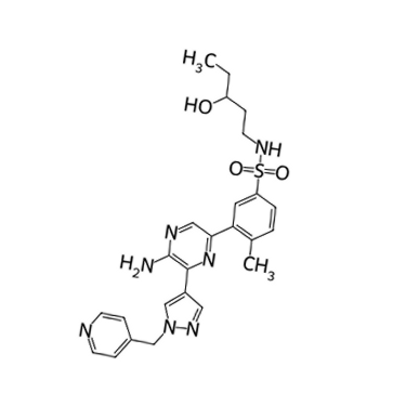 CCC(O)CCNS(=O)(=O)c1ccc(C)c(-c2cnc(N)c(-c3cnn(Cc4ccncc4)c3)n2)c1